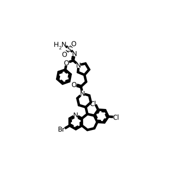 NS(=O)(=O)N=C(Oc1ccccc1)N1CCC(CC(=O)N2CCC(C3c4ncc(Br)cc4CCc4cc(Cl)cc(Cl)c43)CC2)C1